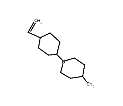 C=CC1CCC(N2CCC(C)CC2)CC1